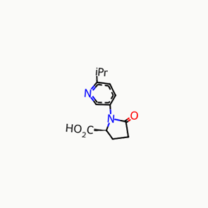 CC(C)c1ccc(N2C(=O)CC[C@H]2C(=O)O)cn1